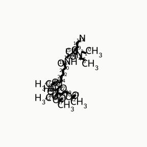 CCCN(CCC)P(OCCC#N)OC(C)CNC(=O)CCCCCOC1OC(COC(C)=O)C(OC(C)=O)C(OC(C)=O)[C@@H]1NC(C)=O